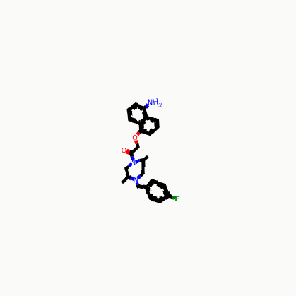 CC1CN(C(=O)COc2cccc3c(N)cccc23)C(C)CN1Cc1ccc(F)cc1